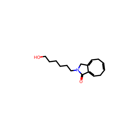 O=C1C2=C/C/C=C\C/C=C\2CN1CCCCCCO